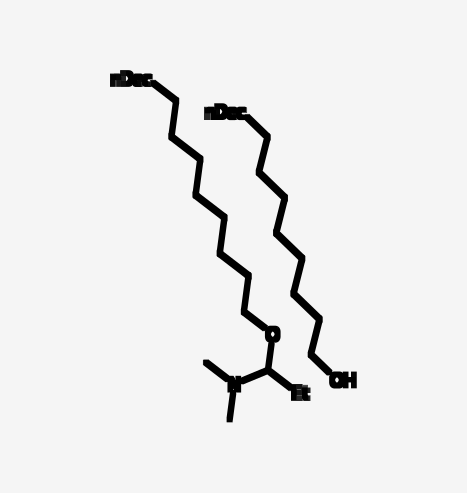 CCCCCCCCCCCCCCCCCCO.CCCCCCCCCCCCCCCCCCOC(CC)N(C)C